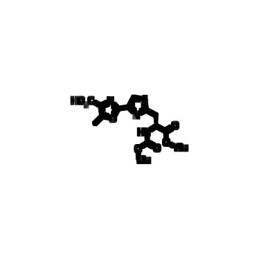 Cc1oc(-c2csc(C[C@H](NC(=O)OC(C)(C)C)C(=O)OC(C)(C)C)n2)nc1C(=O)O